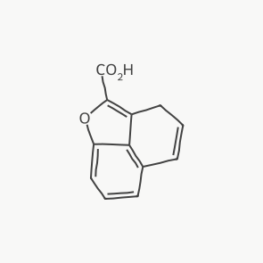 O=C(O)c1oc2cccc3c2c1CC=C3